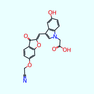 N#CCOc1ccc2c(c1)O/C(=C\c1cn(CC(=O)O)c3ccc(O)cc13)C2=O